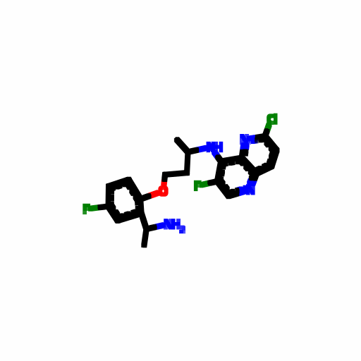 CC(CCOc1ccc(F)cc1C(C)N)Nc1c(F)cnc2ccc(Cl)nc12